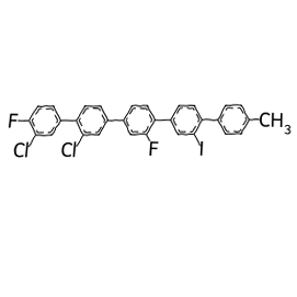 Cc1ccc(-c2ccc(-c3ccc(-c4ccc(-c5ccc(F)c(Cl)c5)c(Cl)c4)cc3F)cc2I)cc1